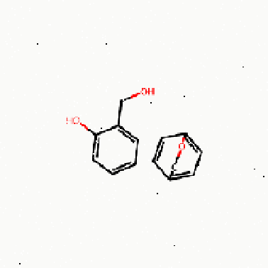 OCc1ccccc1O.c1cc2ccc1CO2